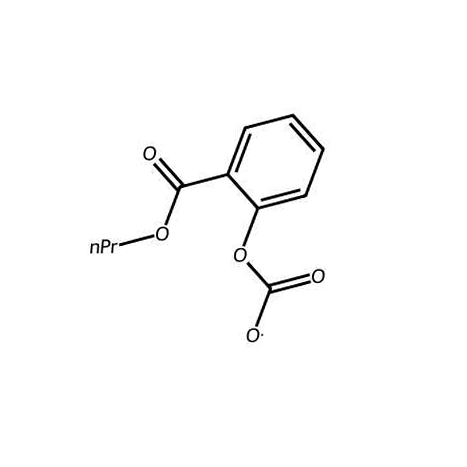 CCCOC(=O)c1ccccc1OC([O])=O